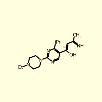 CCN1CCN(c2ncc(/C(O)=C/C(C)=N)c(C(C)C)n2)CC1